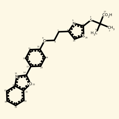 CC(C)(Sc1nc(CCOc2ccc(-c3nc4ccccc4o3)cc2)cs1)C(=O)O